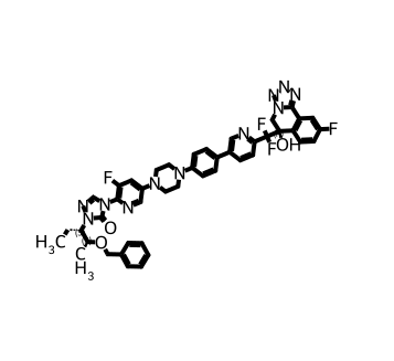 CC[C@@H]([C@H](C)OCc1ccccc1)n1ncn(-c2ncc(N3CCN(c4ccc(-c5ccc(C(F)(F)[C@]6(O)Cn7nnnc7-c7cc(F)ccc76)nc5)cc4)CC3)cc2F)c1=O